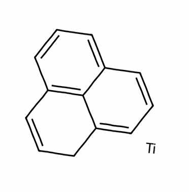 C1=Cc2cccc3cccc(c23)C1.[Ti]